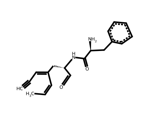 C#C/C=C(\C=C/C)C[C@@H](C=O)NC(=O)[C@@H](N)Cc1ccccc1